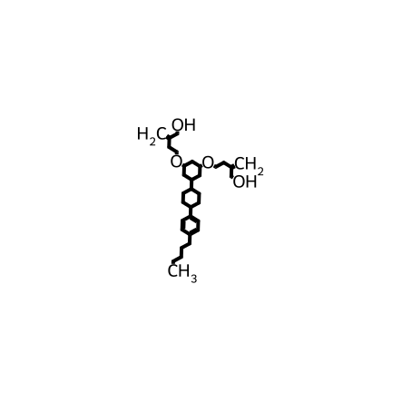 C=C(CO)CCOC1CC(OCCC(=C)CO)CC(C2CCC(c3ccc(CCCCC)cc3)CC2)C1